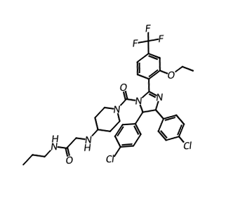 CCCNC(=O)CNC1CCN(C(=O)N2C(c3ccc(C(F)(F)F)cc3OCC)=NC(c3ccc(Cl)cc3)C2c2ccc(Cl)cc2)CC1